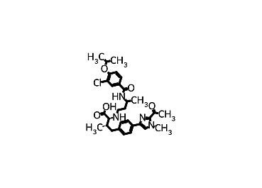 CC(=O)c1nc(-c2ccc(C[C@H](C)[C@H](NCCC(C)NC(=O)c3ccc(OC(C)C)c(Cl)c3)C(=O)O)cc2)cn1C